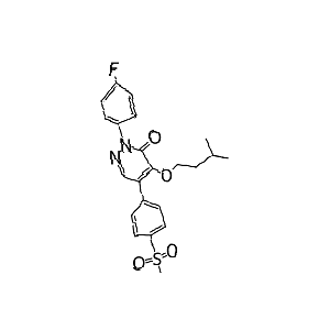 CC(C)CCOc1c(-c2ccc(S(C)(=O)=O)cc2)cnn(-c2ccc(F)cc2)c1=O